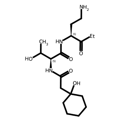 CCC(=O)[C@H](CCN)NC(=O)[C@@H](NC(=O)CC1(O)CCCCC1)C(C)O